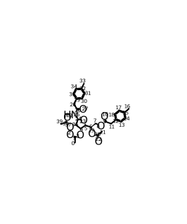 CC(=O)O[C@H]1[C@H]([C@@H](COC(=O)Cc2ccc(C)cc2)OC(C)=O)O[C@@H](NC(=O)Cc2ccc(C)cc2)[C@H]1OC(C)=O